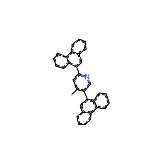 Cc1cc(-c2cc3ccccc3c3ccccc23)ncc1-c1cc2ccccc2c2ccccc12